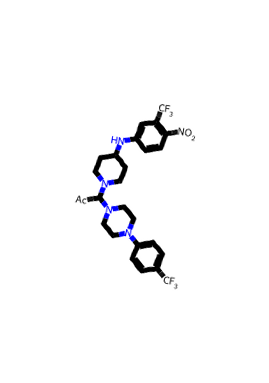 CC(=O)C(N1CCC(Nc2ccc([N+](=O)[O-])c(C(F)(F)F)c2)CC1)N1CCN(c2ccc(C(F)(F)F)cc2)CC1